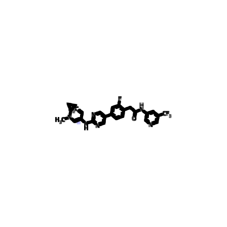 C=C/C(=C\N(C)C1CC1)Nc1ncc(-c2ccc(CC(=O)Nc3cncc(C(F)(F)F)c3)c(F)c2)cn1